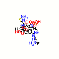 CC1(C)[C@H]([AsH]C(=O)/C(=N\O[C@](C)(C(=O)O)[C@H]2CCc3cc(C(=N)NCCCC4(N)CC4)ccc3O2)c2csc(N)n2)C(=O)N1OS(=O)(=O)O